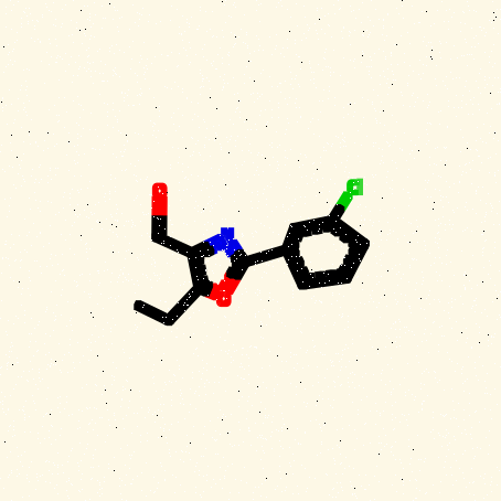 CCc1oc(-c2cccc(Cl)c2)nc1C=O